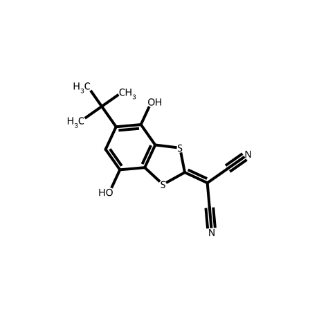 CC(C)(C)c1cc(O)c2c(c1O)SC(=C(C#N)C#N)S2